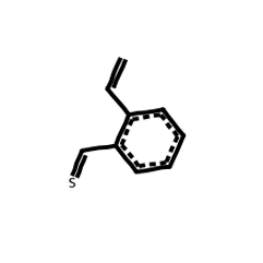 C=Cc1ccccc1C=S